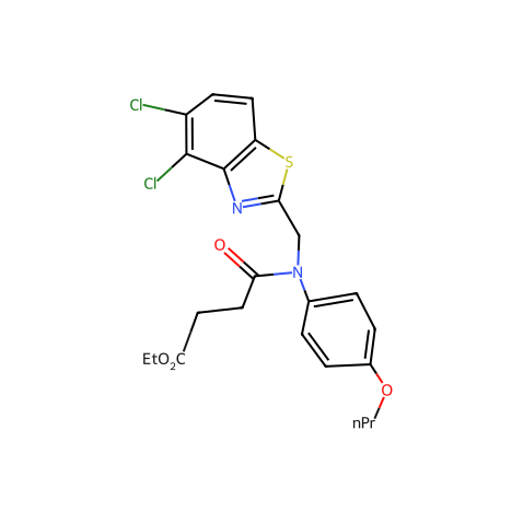 CCCOc1ccc(N(Cc2nc3c(Cl)c(Cl)ccc3s2)C(=O)CCC(=O)OCC)cc1